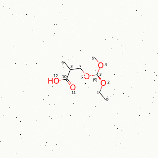 CCO[C@H](OC)OCC(C)C(=O)O